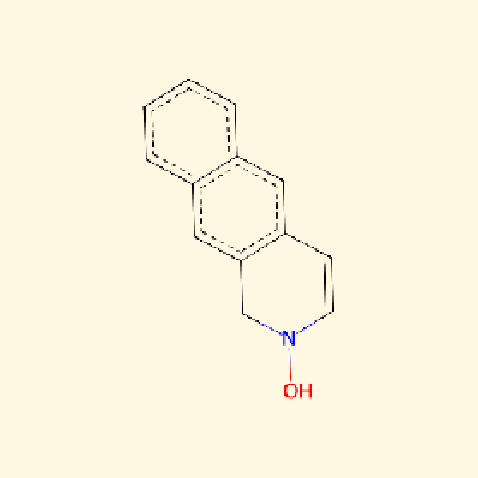 ON1C=Cc2cc3ccccc3cc2C1